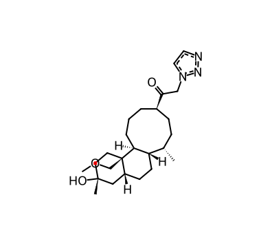 COC[C@]12CC[C@@](C)(O)C[C@H]1CC[C@H]1[C@@H](C)CC[C@H](C(=O)Cn3ccnn3)CCC[C@@H]12